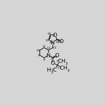 CC(C)(C)OC(=O)N1CCCCC1Cn1ccoc1=O